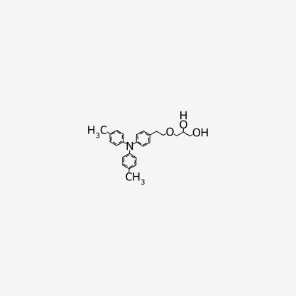 Cc1ccc(N(c2ccc(C)cc2)c2ccc(CCOCC(O)CO)cc2)cc1